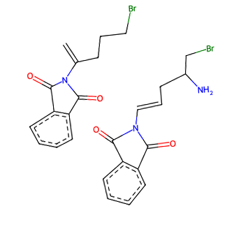 C=C(CCCBr)N1C(=O)c2ccccc2C1=O.NC(CBr)CC=CN1C(=O)c2ccccc2C1=O